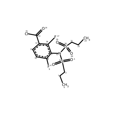 CCCS(=O)(=O)N(c1c(F)ccc(C(=O)Cl)c1F)S(=O)(=O)CCC